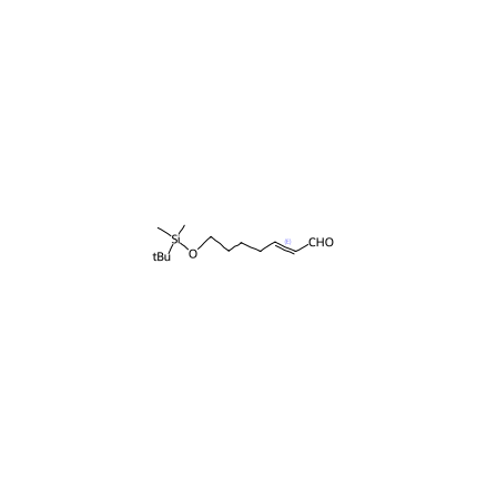 CC(C)(C)[Si](C)(C)OCCCC/C=C/C=O